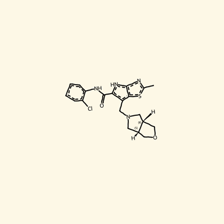 Cc1nc2[nH]c(C(=O)Nc3ccccc3Cl)c(CN3C[C@H]4COC[C@H]4C3)c2s1